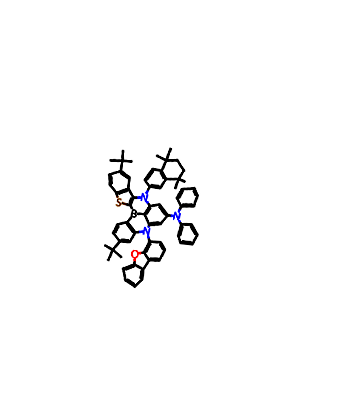 CC(C)(C)c1ccc2c(c1)N(c1cccc3c1oc1ccccc13)c1cc(N(c3ccccc3)c3ccccc3)cc3c1B2c1sc2ccc(C(C)(C)C)cc2c1N3c1ccc2c(c1)C(C)(C)CCC2(C)C